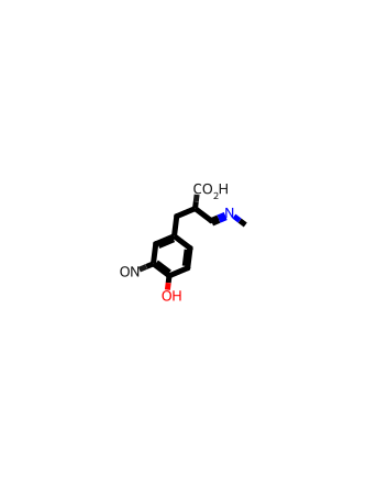 C/N=C/C(Cc1ccc(O)c(N=O)c1)C(=O)O